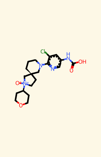 O=C(O)Nc1cnc(N2CCC[C@]3(CC[N+]([O-])(C4CCOCC4)C3)C2)c(Cl)c1